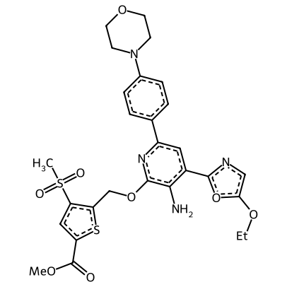 CCOc1cnc(-c2cc(-c3ccc(N4CCOCC4)cc3)nc(OCc3sc(C(=O)OC)cc3S(C)(=O)=O)c2N)o1